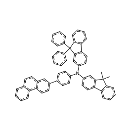 CC1(C)c2ccccc2-c2ccc(N(c3ccc(-c4ccc5c(ccc6ccccc65)c4)cc3)c3ccc4c(c3)C(c3ccccc3)(c3ccccc3)c3ccccc3-4)cc21